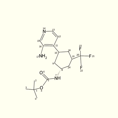 CC(C)(C)OC(=O)N[C@@H]1CC(c2ccncc2N)CC(C(F)(F)F)C1